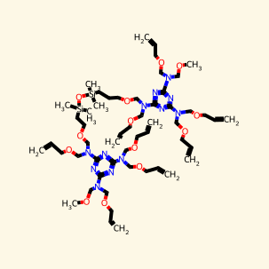 C=CCOCN(COC)c1nc(N(COCC=C)COCC=C)nc(N(COCC=C)COCCC[Si](C)(C)O[Si](C)(C)CCOCN(COCC=C)c2nc(N(COC)COCC=C)nc(N(COCC=C)COCC=C)n2)n1